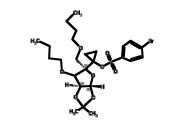 CCCCOC[C@]1(C2(OS(=O)(=O)c3ccc(Br)cc3)CC2)O[C@@H]2OC(C)(C)O[C@H]2C1OCCCC